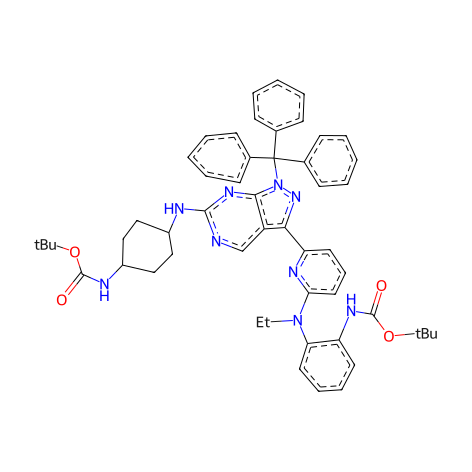 CCN(c1cccc(-c2nn(C(c3ccccc3)(c3ccccc3)c3ccccc3)c3nc(NC4CCC(NC(=O)OC(C)(C)C)CC4)ncc23)n1)c1ccccc1NC(=O)OC(C)(C)C